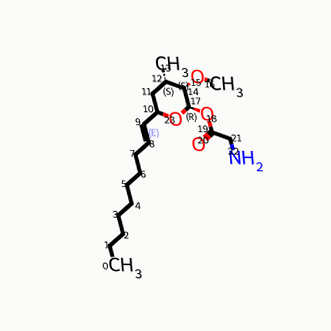 CCCCCCCC/C=C/C1C[C@H](C)[C@H](OC)[C@@H](OC(=O)CN)O1